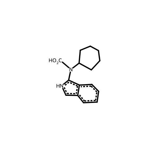 O=C(O)N(c1[nH]cc2ccccc12)C1CCCCC1